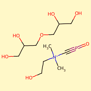 C[N+](C)(C#P=O)CCO.OCC(O)COCC(O)CO